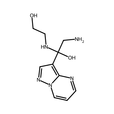 NCC(O)(NCCO)c1cnn2cccnc12